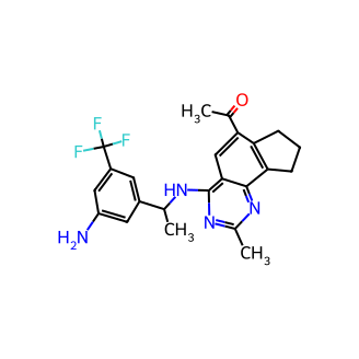 CC(=O)c1cc2c(NC(C)c3cc(N)cc(C(F)(F)F)c3)nc(C)nc2c2c1CCC2